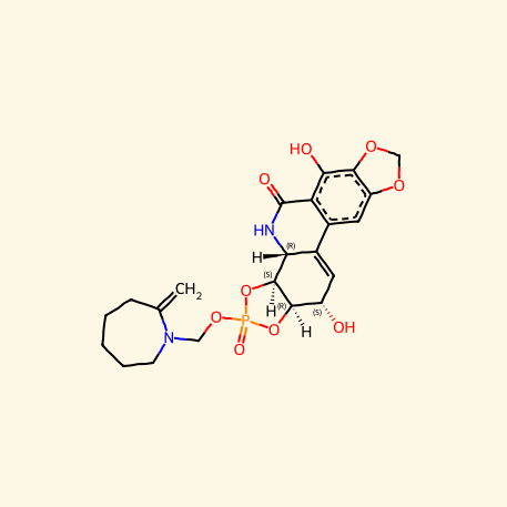 C=C1CCCCCN1COP1(=O)O[C@@H]2[C@H](O1)[C@@H](O)C=C1c3cc4c(c(O)c3C(=O)N[C@H]12)OCO4